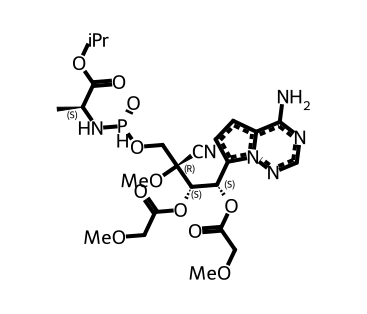 COCC(=O)O[C@@H](c1ccc2c(N)ncnn12)[C@H](OC(=O)COC)[C@@](C#N)(CO[PH](=O)N[C@@H](C)C(=O)OC(C)C)OC